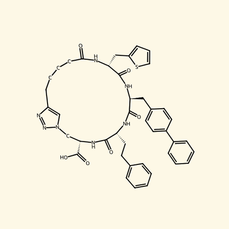 O=C1CCCCc2cn(nn2)C[C@@H](C(=O)O)NC(=O)[C@@H](CCc2ccccc2)NC(=O)[C@H](Cc2ccc(-c3ccccc3)cc2)NC(=O)[C@@H](Cc2cccs2)N1